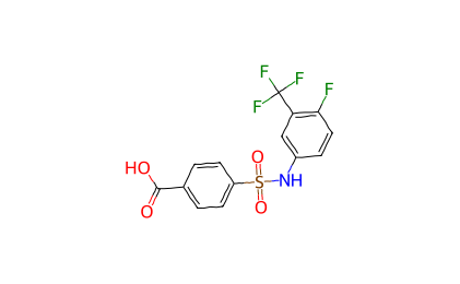 O=C(O)c1ccc(S(=O)(=O)Nc2ccc(F)c(C(F)(F)F)c2)cc1